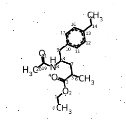 CCOC(=O)C(C)CC(Cc1ccc(CC)cc1)NC(C)=O